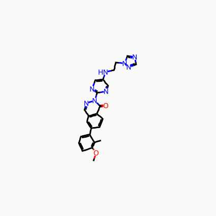 COc1cccc(-c2ccc3c(=O)n(-c4ncc(NCCn5cncn5)cn4)ncc3c2)c1C